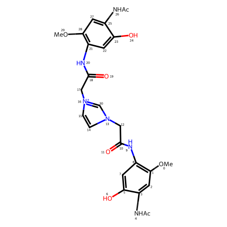 COc1cc(NC(C)=O)c(O)cc1NC(=O)Cn1cc[n+](CC(=O)Nc2cc(O)c(NC(C)=O)cc2OC)c1